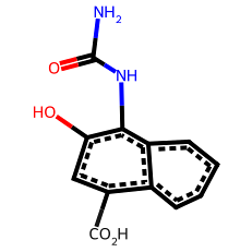 NC(=O)Nc1c(O)cc(C(=O)O)c2ccccc12